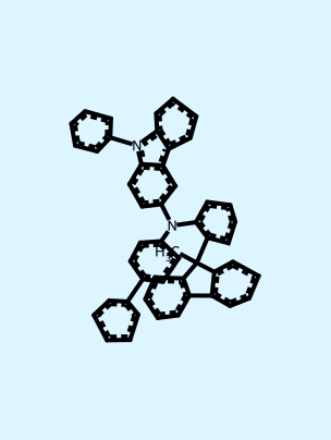 CC1(c2ccccc2N(c2ccc(-c3ccccc3)cc2)c2ccc3c(c2)c2ccccc2n3-c2ccccc2)c2ccccc2-c2ccccc21